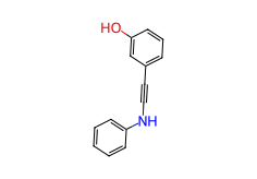 Oc1cccc(C#CNc2ccccc2)c1